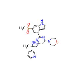 CC(N)(Cc1cc(N2CCOCC2)nc(-c2cc(S(C)(=O)=O)cc3[nH]ccc23)n1)c1cccnc1